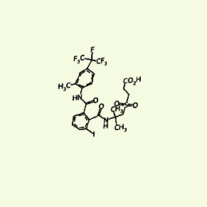 Cc1cc(C(F)(C(F)(F)F)C(F)(F)F)ccc1NC(=O)c1cccc(I)c1C(=O)NC(C)(C)CS(=O)(=O)CCC(=O)O